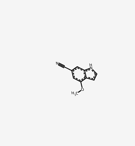 COc1cc(C#N)cc2[nH]ccc12